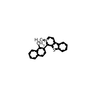 Cc1c(-c2c3sc4ccccc4c3cc[n+]2C)ccc2ccccc12